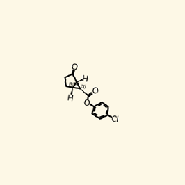 O=C1CC[C@@H]2[C@H]1[C@H]2C(=O)Oc1ccc(Cl)cc1